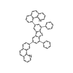 c1ccc(-c2cc(-c3ccc4ccc5cccnc5c4c3)cc3c2sc2c(-c4ccccc4)cc(-c4cccc5ccc6cccnc6c45)cc23)cc1